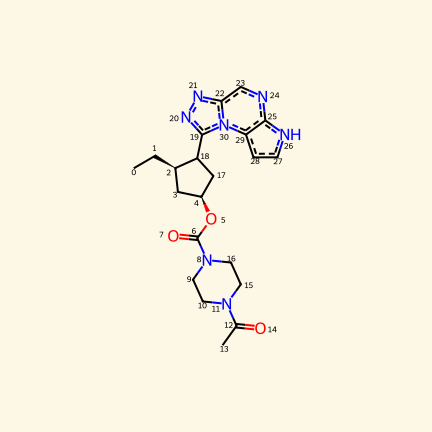 CC[C@@H]1C[C@H](OC(=O)N2CCN(C(C)=O)CC2)CC1c1nnc2cnc3[nH]ccc3n12